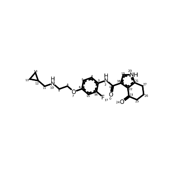 O=C(Nc1ccc(OCCNCC2CC2)cc1F)c1c[nH]c2c1C(=O)CCC2